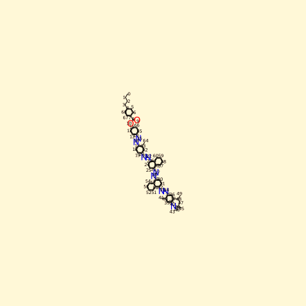 CCCCc1ccc(C(=O)Oc2ccc(N=Nc3ccc(N=Nc4ccc(N=Nc5ccc(N=Nc6cc7c(cc6C)N(C)C(C)(C)CC7C)c6ccccc56)c5ccccc45)cc3C)cc2)cc1